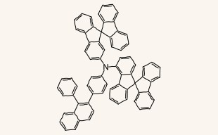 c1ccc(-c2c(-c3ccc(N(c4ccc5c(c4)C4(c6ccccc6-c6ccccc64)c4ccccc4-5)c4cccc5c4-c4ccccc4C54c5ccccc5-c5ccccc54)cc3)ccc3ccccc23)cc1